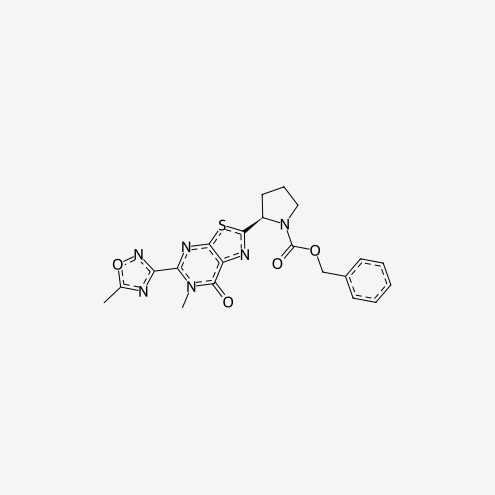 Cc1nc(-c2nc3sc([C@H]4CCCN4C(=O)OCc4ccccc4)nc3c(=O)n2C)no1